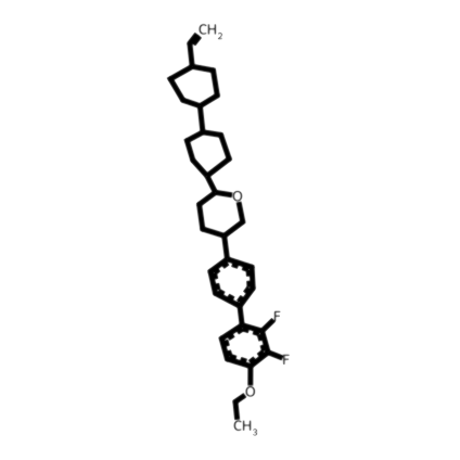 C=CC1CCC(C2CCC(C3CCC(c4ccc(-c5ccc(OCC)c(F)c5F)cc4)CO3)CC2)CC1